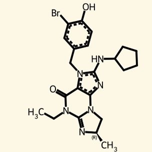 CCN1C(=O)c2c(nc(NC3CCCC3)n2Cc2ccc(O)c(Br)c2)N2C[C@@H](C)N=C12